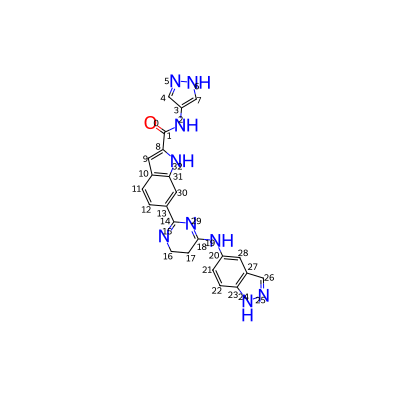 O=C(Nc1cn[nH]c1)c1cc2ccc(C3=NCCC(Nc4ccc5[nH]ncc5c4)=N3)cc2[nH]1